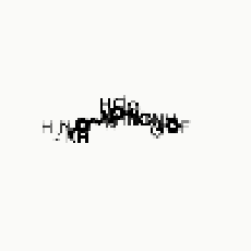 Cl.Cn1c(CCc2ccc(C(=N)N)cc2)nc2cc(C(=O)NN3CCN(NC(=O)c4ccc(F)cc4)CC3)ccc21